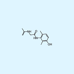 C=C(C)NCC(=O)Nc1c(C)ccc(O)c1C